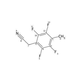 Cc1c(F)c(F)c([CH]C#N)c(F)c1F